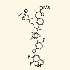 C=CS(=O)(=O)CC(C)(C)CCC[C@](C)(c1cccc(C[C@H](C)C(=O)OC)c1)c1nc(-c2cc(Oc3cc4cc[nH]c4c(F)c3F)ccc2F)n(C)n1